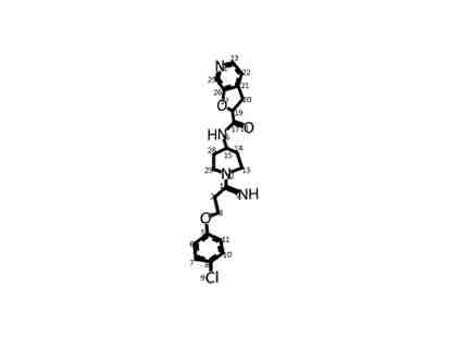 N=C(CCOc1ccc(Cl)cc1)N1CCC(NC(=O)C2Cc3ccncc3O2)CC1